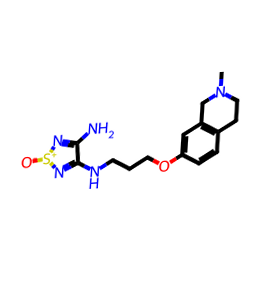 CN1CCc2ccc(OCCCNc3n[s+]([O-])nc3N)cc2C1